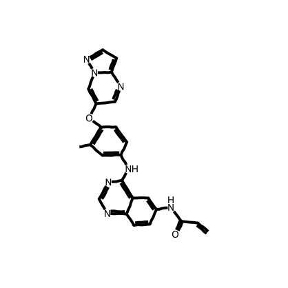 C=CC(=O)Nc1ccc2ncnc(Nc3ccc(Oc4cnc5ccnn5c4)c(C)c3)c2c1